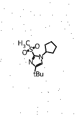 CC(C)(C)c1cn(C2CCCC2)c(S(C)(=O)=O)n1